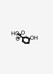 O=S(=O)(O)c1[c]c(O)ccc1